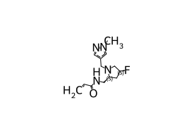 C=CC(=O)NC[C@@H]1C[C@H](F)CN1Cc1cnn(C)c1